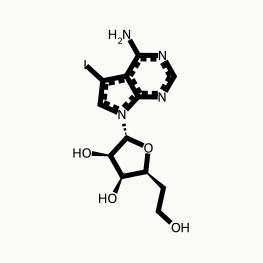 Nc1ncnc2c1c(I)cn2[C@@H]1O[C@@H](CCO)[C@@H](O)[C@H]1O